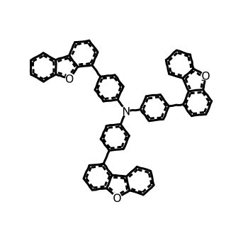 c1ccc2c(c1)oc1c(-c3ccc(N(c4ccc(-c5cccc6oc7ccccc7c56)cc4)c4ccc(-c5cccc6oc7ccccc7c56)cc4)cc3)cccc12